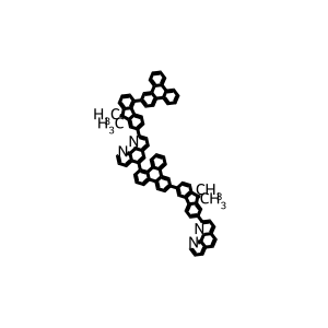 CC1(C)c2ccc(-c3ccc4c(c3)c3ccccc3c3c(-c5cc6ccc(-c7ccc8c(c7)C(C)(C)c7cccc(-c9ccc%10c%11ccccc%11c%11ccccc%11c%10c9)c7-8)nc6c6ncccc56)cccc43)cc2-c2ccc(-c3ccc4ccc5cccnc5c4n3)cc21